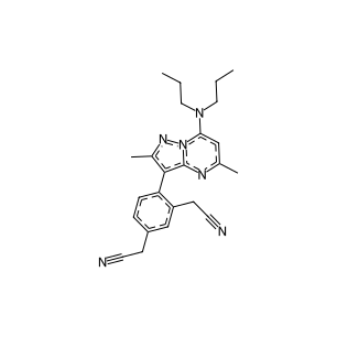 CCCN(CCC)c1cc(C)nc2c(-c3ccc(CC#N)cc3CC#N)c(C)nn12